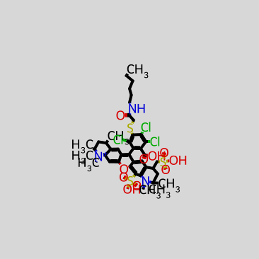 CCCCCCNC(=O)CSc1c(Cl)c(Cl)c(C(=O)O)c(C2=c3cc4c(cc3Oc3c2cc2c(c3S(=O)(=O)O)N(C)C(C)(C)CC2CS(=O)(=O)O)=[N+](C)C(C)(C)CC4C)c1Cl